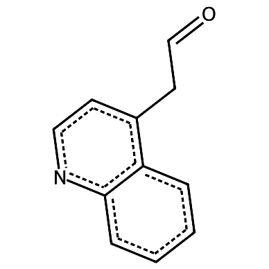 O=CCc1ccnc2ccccc12